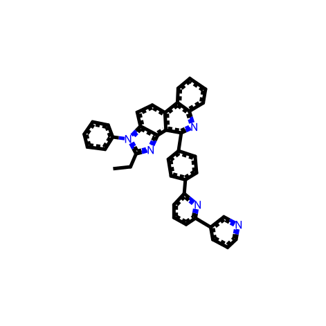 CCc1nc2c3c(-c4ccc(-c5cccc(-c6cccnc6)n5)cc4)nc4ccccc4c3ccc2n1-c1ccccc1